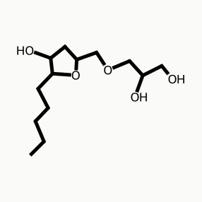 CCCCCC1OC(COCC(O)CO)CC1O